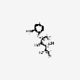 Nc1ccccc1O[C@@H](C=O)[C@@H](O)[C@H](O)[C@H](O)CO